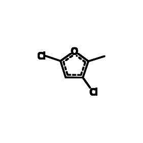 Cc1oc(Cl)cc1Cl